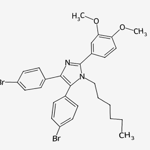 CCCCCCn1c(-c2ccc(OC)c(OC)c2)nc(-c2ccc(Br)cc2)c1-c1ccc(Br)cc1